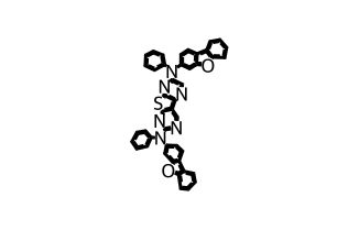 c1ccc(N(c2ccc3c(c2)oc2ccccc23)c2cnc3c(n2)sc2nc(N(c4ccccc4)c4ccc5c(c4)oc4ccccc45)ncc23)cc1